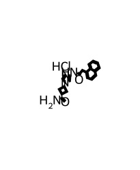 Cl.NC(=O)[C@H]1C[C@@H](n2cnc(NC(=O)Cc3cccc4ccccc34)c2)C1